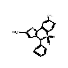 Cc1ccc2c(c1)-c1sc(C(=O)O)cc1C(c1ccccc1)S2(=O)=O